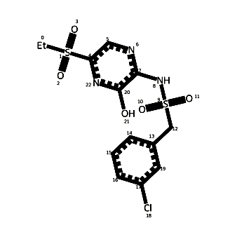 CCS(=O)(=O)c1cnc(NS(=O)(=O)Cc2cccc(Cl)c2)c(O)n1